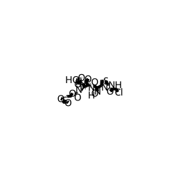 CON=C(C(=O)N[C@@H]1C(=O)N(S(=O)(=O)O)[C@@H]1CNC(=O)OCCS(C)(=O)=O)c1csc(NC(=O)CCl)n1